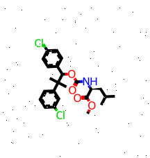 COC(=O)[C@H](CC(C)C)NC(=O)OC(c1ccc(Cl)cc1)C(C)(C)c1cccc(Cl)c1